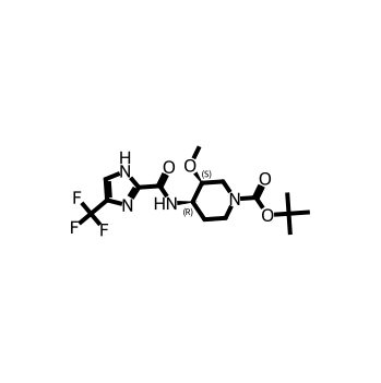 CO[C@H]1CN(C(=O)OC(C)(C)C)CC[C@H]1NC(=O)c1nc(C(F)(F)F)c[nH]1